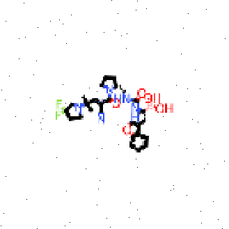 CC(C)(/C=C(\C#N)C(=O)N1CCC[C@@H]1CNC(=O)N[C@@H](Cc1coc2ccccc12)B(O)O)N1CCC(F)(F)C1